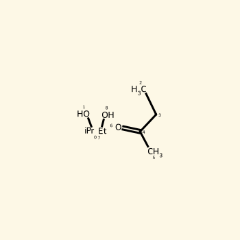 CC(C)O.CCC(C)=O.CCO